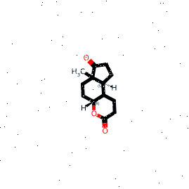 CC12CC[C@H]3OC(=O)CCC3[C@@H]1CCC2=O